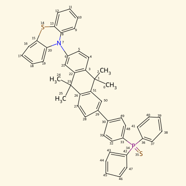 CC1(C)c2ccc(N3c4ccccc4Sc4ccccc43)cc2C(C)(C)c2ccc(-c3ccc(P(=S)(c4ccccc4)c4ccccc4)cc3)cc21